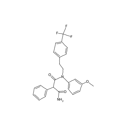 COc1cccc(N(CCc2ccc(C(F)(F)F)cc2)C(=O)C(C(N)=O)c2ccccc2)c1